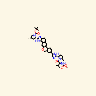 COC(=O)N[C@H](C(=O)N1C(C)CC[C@H]1c1ncc(-c2ccc3c(c2)COc2cc4c(ccc5nc([C@@H]6C[C@H](C)CN6C(=O)OC(C)(C)C)[nH]c54)cc2-3)[nH]1)C(C)C